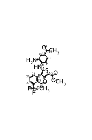 COC(=O)c1sc(Nc2ccc(C(C)=O)cc2N)cc1O[C@H](C)c1ccccc1C(F)(F)F